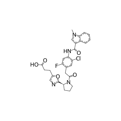 Cn1cc(C(=O)Nc2cc(F)c(CC(=O)N3CCC[C@H]3c3ncc(CCC(=O)O)o3)cc2Cl)c2ccccc21